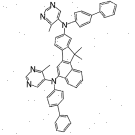 Cc1ncncc1N(c1ccc(-c2ccccc2)cc1)c1ccc2c(c1)C(C)(C)c1c-2cc(N(c2ccc(-c3ccccc3)cc2)c2cncnc2C)c2ccccc12